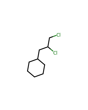 ClCC(Cl)CC1CCCCC1